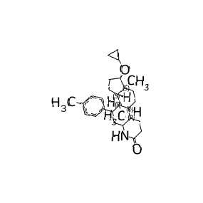 Cc1ccc(C2CC3NC(=O)CC[C@]3(C)[C@@H]3CC[C@]4(C)C(OC5CC5)CC[C@H]4[C@H]23)cc1